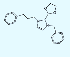 C1=CN(Cc2ccccc2)C(C2OCCO2)N1CCCc1ccccc1